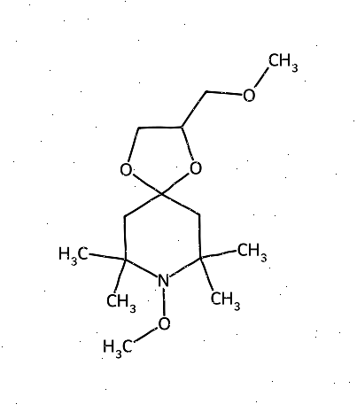 COCC1COC2(CC(C)(C)N(OC)C(C)(C)C2)O1